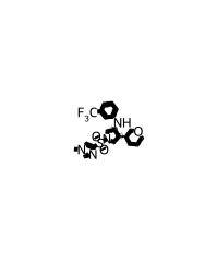 Cn1cnc(S(=O)(=O)N2C[C@H](Nc3cccc(C(F)(F)F)c3)[C@@H](C3CCCOC3)C2)c1